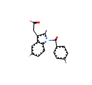 Cc1c(CC(=O)O)c2cc([18F])ccc2n1C(=O)c1ccc(Cl)cc1